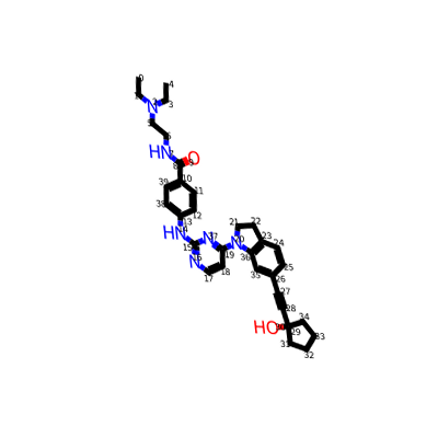 CCN(CC)CCNC(=O)c1ccc(Nc2nccc(N3CCc4ccc(C#CC5(O)CCCC5)cc43)n2)cc1